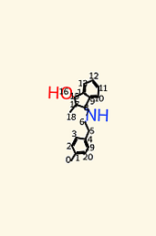 Cc1ccc(CCNC2c3ccccc3C(O)C2C)cc1